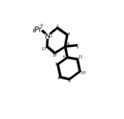 CC(C)N1CCC(C)(C2CCCCC2)CC1